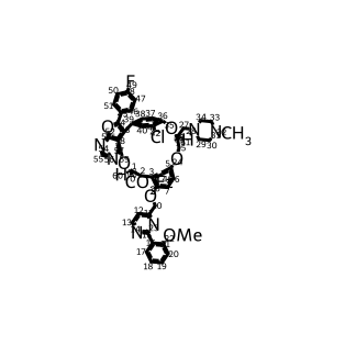 CCOC(=O)[C@H]1Cc2cc(ccc2OCc2ccnc(-c3ccccc3OC)n2)OC[C@@H](CN2CCN(C)CC2)Oc2ccc(cc2Cl)-c2c(-c3ccc(F)cc3)oc3ncnc(c23)O1